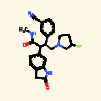 CNC(=O)C(c1ccc2c(c1)NC(=O)C2)[C@H](CN1CCC(F)C1)c1cccc(C#N)c1